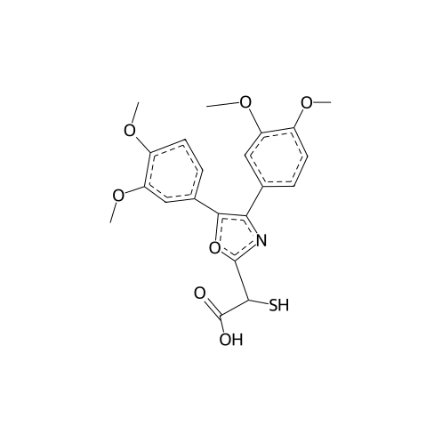 COc1ccc(-c2nc(C(S)C(=O)O)oc2-c2ccc(OC)c(OC)c2)cc1OC